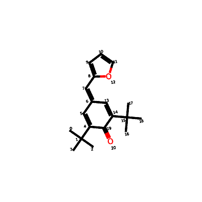 CC(C)(C)C1=CC(=Cc2ccco2)C=C(C(C)(C)C)C1=O